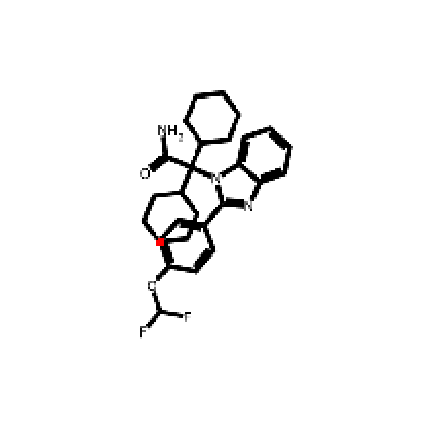 NC(=O)C(C1CCCCC1)(C1CCCCC1)n1c(-c2ccc(OC(F)F)cc2)nc2ccccc21